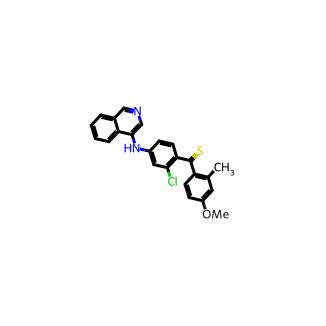 COc1ccc(C(=S)c2ccc(Nc3cncc4ccccc34)cc2Cl)c(C)c1